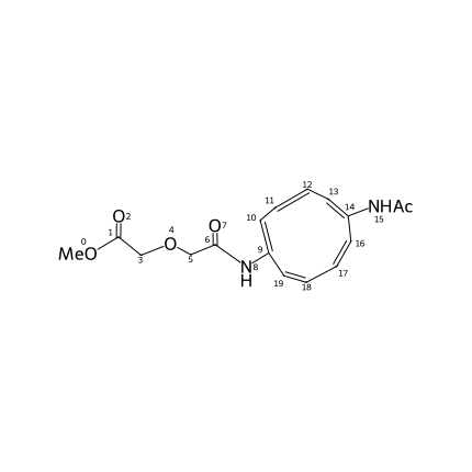 COC(=O)COCC(=O)Nc1ccccc(NC(C)=O)cccc1